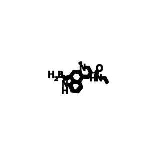 Bc1[nH]c2cccc3c2c1CC1C3=C[C@@H](C(=O)NCC)CN1C